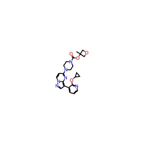 CC1(OC(=O)N2CCN(c3ccn4ncc(-c5cccnc5OC5CC5)c4n3)CC2)COC1